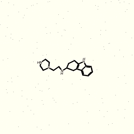 c1ccc2c3c([nH]c2c1)CCC(NCCN1CCNCC1)C3